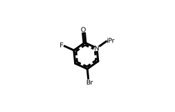 CC(C)n1cc(Br)cc(F)c1=O